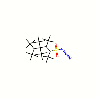 CC(C)(C)C(C(C(C)(C)C)S(=O)(=O)N=[N+]=[N-])C(C(C(C)(C)C)C(C)(C)C)(C(C)(C)C)C(C)(C)C